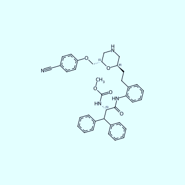 COC(=O)N[C@H](C(=O)Nc1ccccc1CC[C@@H]1CNC[C@@H](COc2ccc(C#N)cc2)O1)C(c1ccccc1)c1ccccc1